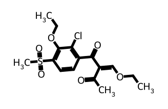 CCOC=C(C(C)=O)C(=O)c1ccc(S(C)(=O)=O)c(OCC)c1Cl